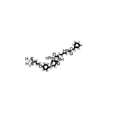 CCCN1C(=O)[C@H](CCCCNC(=O)OCc2ccccc2)NC(=O)C12CCN(Cc1ccc(OCCCN(C)C)cc1)CC2